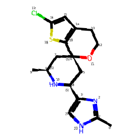 Cc1nc([C@@H]2C[C@]3(C[C@H](C)N2)OCCc2cc(Cl)sc23)c[nH]1